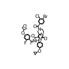 C[C@H](NC(=O)c1c2n(c(=O)n1-c1ccc(OC3CC3)cc1)CCN(C(=O)c1ccc(Br)c(Cl)c1)C2)c1ccc(OC2COC2)cc1F